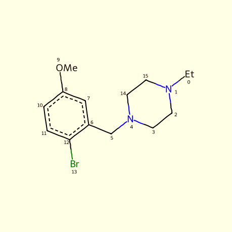 [CH2]CN1CCN(Cc2cc(OC)ccc2Br)CC1